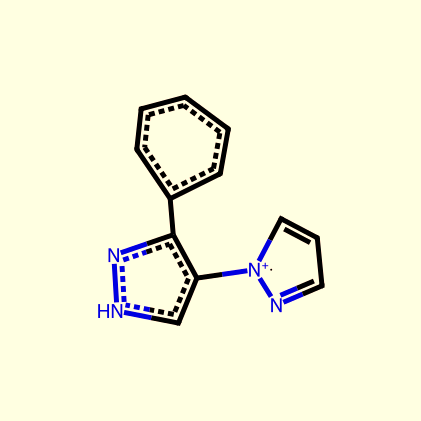 C1=C[N+](c2c[nH]nc2-c2ccccc2)N=C1